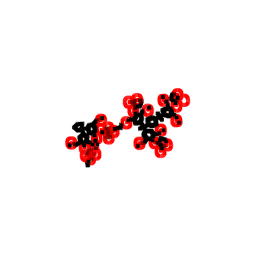 CCOc1cc(C2(c3cc(COC)c(OCS(=O)(=O)OCC)c(COC)c3)CCCC2)cc(COC)c1OCS(=O)(=O)OCCCOCc1cc(C(C)(c2ccc(C(C)(C)c3cc(COC)c(OC4CCOC4=O)c(COC)c3)cc2)c2cc(COC)c(OC3CCOC3=O)c(COC)c2)cc(COC)c1OC1CCOC1=O